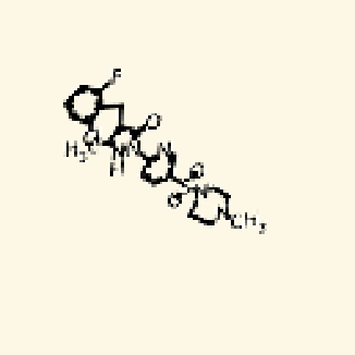 Cc1[nH]n(-c2ccc(S(=O)(=O)N3CCN(C)CC3)cn2)c(=O)c1Cc1c(F)cccc1Cl